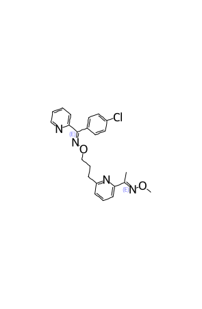 CO/N=C(\C)c1cccc(CCCO/N=C(\c2ccc(Cl)cc2)c2ccccn2)n1